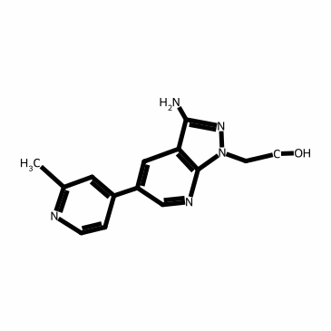 Cc1cc(-c2cnc3c(c2)c(N)nn3CCO)ccn1